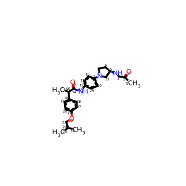 CC(=O)CNC1CCN(c2ccc(NC(=O)C(C)c3ccc(OCC(C)C)cc3)cc2)C1